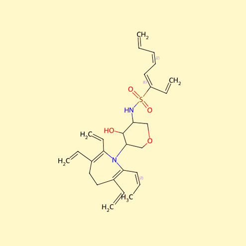 C=C/C=C\C=C(/C=C)S(=O)(=O)NC1COCC(N2C(C=C)=C(C=C)CCC(C=C)=C2/C=C\C)C1O